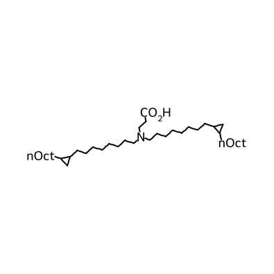 CCCCCCCCC1CC1CCCCCCCCN(CCCCCCCCC1CC1CCCCCCCC)CCC(=O)O